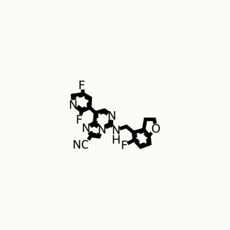 N#Cc1cn2c(NCc3c(F)ccc4c3CCO4)ncc(-c3cc(F)cnc3F)c2n1